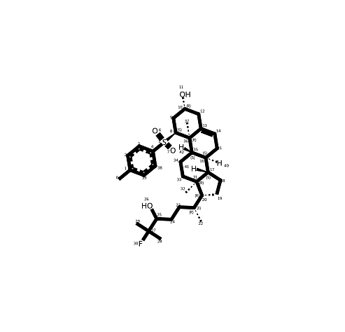 Cc1ccc(S(=O)(=O)[C@H]2C[C@H](O)CC3=CC[C@H]4[C@@H]5CC[C@H]([C@H](C)CCC(O)C(C)(C)F)[C@@]5(C)CC[C@@H]4[C@]32C)cc1